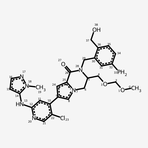 COCOCC1Cn2cc(-c3cc(Nc4ccnn4C)ncc3Cl)cc2C(=O)N1Cc1cc(P)ccc1CO